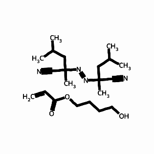 C=CC(=O)OCCCCO.CC(C)CC(C)(C#N)N=NC(C)(C#N)CC(C)C